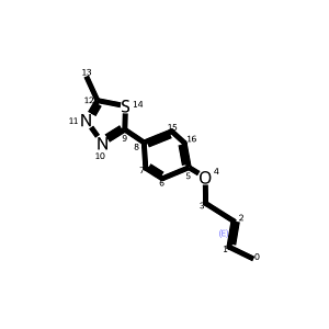 C/C=C/COc1ccc(-c2nnc(C)s2)cc1